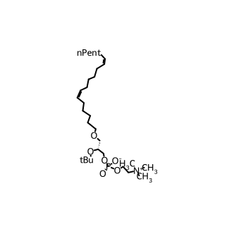 CCCCC/C=C\CCCC/C=C\CCCCCOC[C@H](COP(=O)([O-])OCC[N+](C)(C)C)OC(C)(C)C